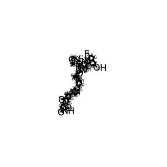 CCc1c(F)ccc2cc(O)cc(-c3ncc4c(N5CCCOC6CC65)nc(OCC5(CN6CCC(CN7CCN(c8ccc9c(c8)CN([C@H]8CCC(=O)NC8=O)C9=O)CC7)CC6)CC5)nc4c3F)c12